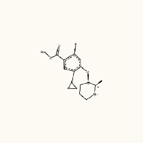 C[C@H]1NCCC[C@H]1Oc1cc(F)c(C(=O)OC(C)(C)C)cc1C1CC1